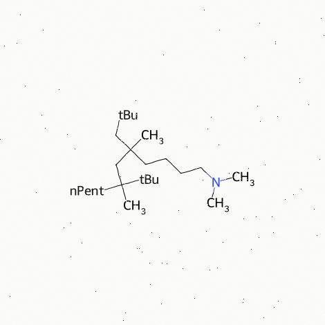 CCCCCC(C)(CC(C)(CCCCN(C)C)CC(C)(C)C)C(C)(C)C